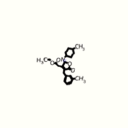 CCOC(=O)CC1=C(Cc2cccc(C)c2)C(=O)O/C1=N\C1CCC(C)CC1